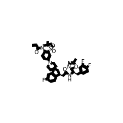 C=CC(=O)N1CC(C)(C)S(=O)(=O)c2cc(N3CCC4(CC3)C[C@@H](CC(=O)N[C@H](Cc3ccc(F)c(F)c3)c3nnc(C)o3)c3ccc(F)cc34)ccc21